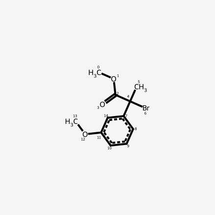 COC(=O)C(C)(Br)c1cccc(OC)c1